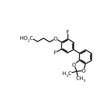 CC1(C)Oc2cccc(-c3cc(F)c(OCCCC(=O)O)c(F)c3)c2O1